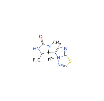 CCCC1(c2cnc3scnn23)C(C(F)(F)F)NC(=O)N1C